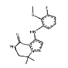 COc1c(F)cccc1Nc1cnn2c1C(=O)NCC2(C)C